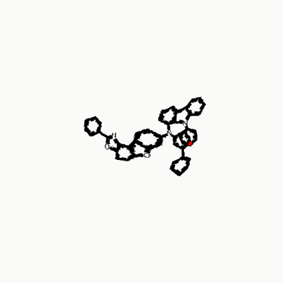 c1ccc(-c2cccc(N(c3ccc4c(c3)oc3ccc5oc(-c6ccccc6)nc5c34)c3cccc4c5ccccc5n(-c5ccccc5)c34)c2)cc1